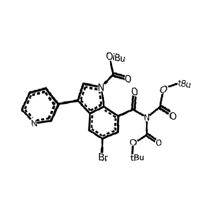 CC(C)COC(=O)n1cc(-c2cccnc2)c2cc(Br)cc(C(=O)N(C(=O)OC(C)(C)C)C(=O)OC(C)(C)C)c21